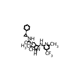 Cc1cc(C(F)(F)F)cc(Nc2n[nH]c3c2CN(C(=O)N[C@@H]2C[C@H]2c2ccccc2)C3(C)C)n1